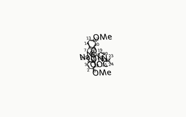 COc1ccc(CN(Cc2ccc(OC)cc2)S(=O)(=O)c2ccn(C(C)(C)C(=O)[O-])n2)cc1.[Na+]